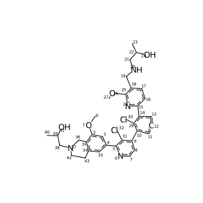 COc1cc(-c2nccc(-c3cccc(-c4ccc(CNCC(C)O)c(OC)n4)c3Cl)c2Cl)cc2c1CN(CC(C)O)CC2